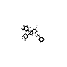 Fc1cc(OCc2ccccc2)c2cc(C3CCOCC3)n(-c3ccc(F)c(F)c3)c2c1